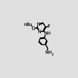 CCCCOc1ncc(F)c(Nc2cccc(CN)c2)n1